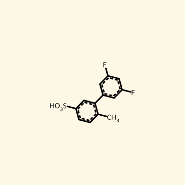 Cc1ccc(S(=O)(=O)O)cc1-c1cc(F)cc(F)c1